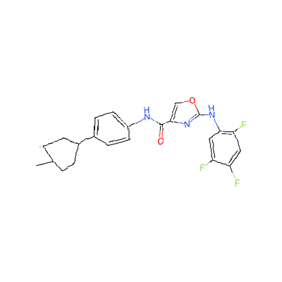 CC1[CH]CC(c2ccc(NC(=O)c3coc(Nc4cc(F)c(F)cc4F)n3)cc2)CC1